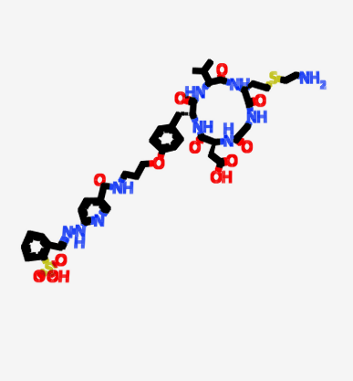 CC(C)C1NC(=O)[C@@H](Cc2ccc(OCCCNC(=O)c3ccc(N/N=C/c4ccccc4S(=O)(=O)O)nc3)cc2)NC(=O)[C@H](CC(=O)O)NC(=O)CNC(=O)[C@H](CCSCCN)NC1=O